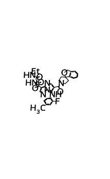 CCNC(=O)NS(=O)(=O)c1cnn2c(Nc3ccc(C)cc3F)c(C(=O)N3CCC4(CC3)OCc3ccccc34)cnc12